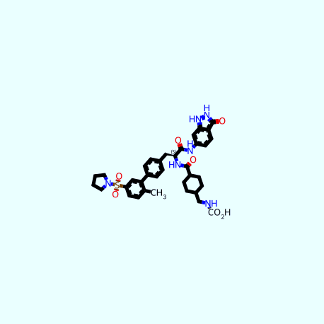 Cc1ccc(S(=O)(=O)N2CCCC2)cc1-c1ccc(C[C@H](NC(=O)C2CCC(CNC(=O)O)CC2)C(=O)Nc2ccc3c(=O)[nH][nH]c3c2)cc1